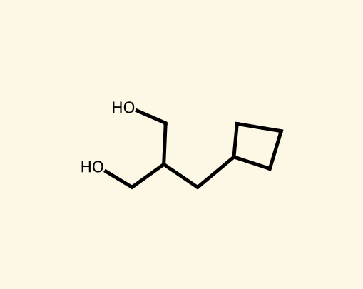 OCC(CO)CC1CCC1